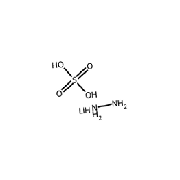 NN.O=S(=O)(O)O.[LiH]